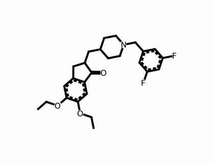 CCOc1cc2c(cc1OCC)C(=O)C(CC1CCN(Cc3cc(F)cc(F)c3)CC1)C2